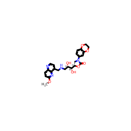 COc1ccc2nccc(CNC[C@H](O)[C@@H](O)[C@@H]3CN(c4ccc5c(c4)OCCO5)C(=O)O3)c2n1